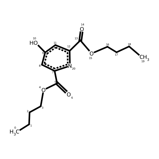 CCCCOC(=O)c1cc(O)cc(C(=O)OCCCC)n1